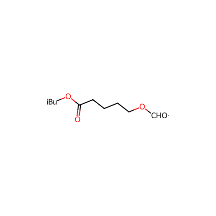 CCC(C)OC(=O)CCCCO[C]=O